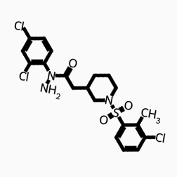 Cc1c(Cl)cccc1S(=O)(=O)N1CCCC(CC(=O)N(N)c2ccc(Cl)cc2Cl)C1